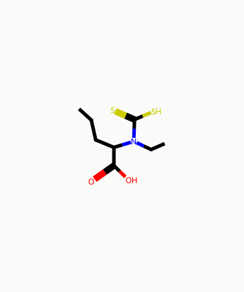 CCCC(C(=O)O)N(CC)C(=S)S